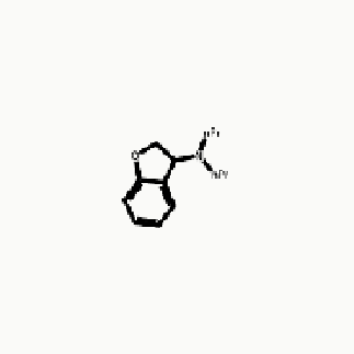 CCCN(CCC)C1[C]Oc2ccccc21